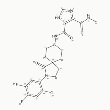 CNC(=O)c1nc[nH]c1C(=O)NC1CCC2(CC1)CCN(c1cc(F)c(F)cc1Cl)C2=O